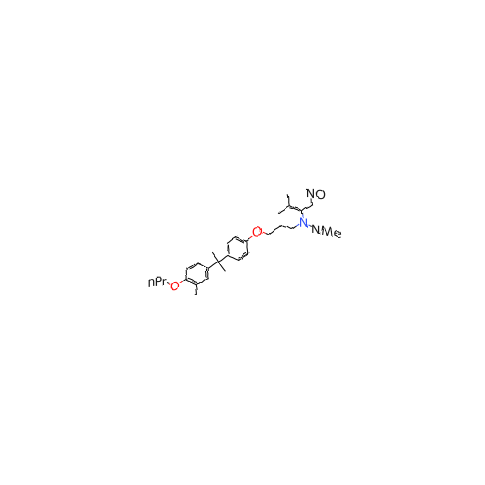 CCCOc1ccc(C(C)(C)c2ccc(OCCCN(NC)C(CN=O)=C(C)C)cc2)cc1C